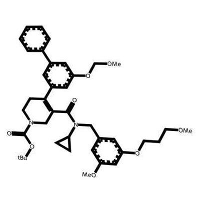 COCCCOc1cc(CN(C(=O)C2=C(c3cc(OCOC)cc(-c4ccccc4)c3)CCN(C(=O)OC(C)(C)C)C2)C2CC2)cc(OC)c1